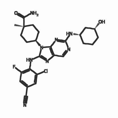 C[C@]1(C(N)=O)CC[C@@H](n2c(Nc3c(F)cc(C#N)cc3Cl)nc3cnc(N[C@H]4CCC[C@@H](O)C4)nc32)CC1